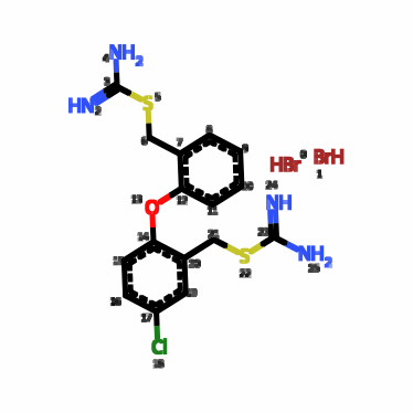 Br.Br.N=C(N)SCc1ccccc1Oc1ccc(Cl)cc1CSC(=N)N